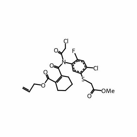 C=CCOC(=O)C1=C(C(=O)N(C(=O)CCl)c2cc(SCC(=O)OC)c(Cl)cc2F)CCCC1